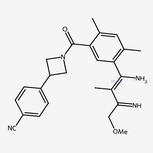 COCC(=N)/C(C)=C(\N)c1cc(C(=O)N2CC(c3ccc(C#N)cc3)C2)c(C)cc1C